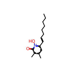 CCCCCC/C=C/c1cc(C)c(C)c(=O)n1O